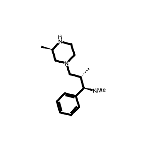 [CH2-][NH2+][C@@H](c1ccccc1)[C@@H](C)CN1CCN[C@H](C)C1